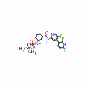 CC(C)(C)OC(=O)N[C@@H]1CCC[C@H](C(=O)Nc2cc(-c3ccc(F)nc3F)c(F)cn2)C1